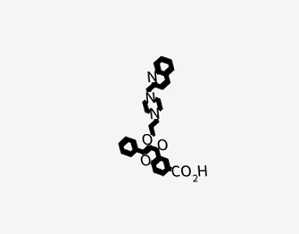 O=C(O)c1ccc2oc(-c3ccccc3)c(OCCCN3CCN(Cc4ccc5ccccc5n4)CC3)c(=O)c2c1